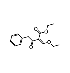 CCOC=C(C(=O)Cc1ccccc1)C(=O)OCC